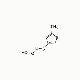 Cc1cc(SOOO)cs1